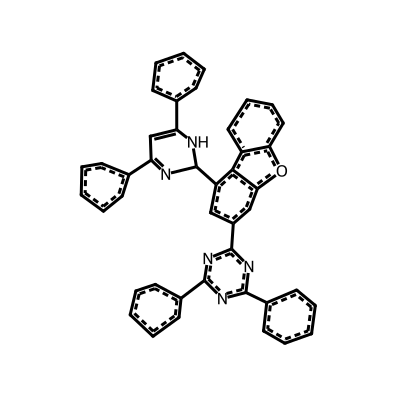 C1=C(c2ccccc2)NC(c2cc(-c3nc(-c4ccccc4)nc(-c4ccccc4)n3)cc3oc4ccccc4c23)N=C1c1ccccc1